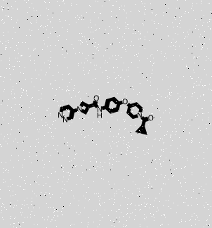 O=C(Nc1ccc(OC2CCN(C(=O)C3CC3)CC2)cc1)C1CN(c2ccnnc2)C1